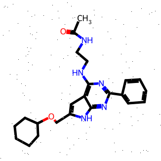 CC(=O)NCCNc1nc(-c2ccccc2)nc2[nH]c(COC3CCCCC3)cc12